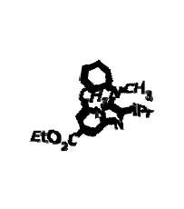 CCOC(=O)c1cc(C)n2c(N(C)C3CCCCC3)c(C(C)C)nc2c1